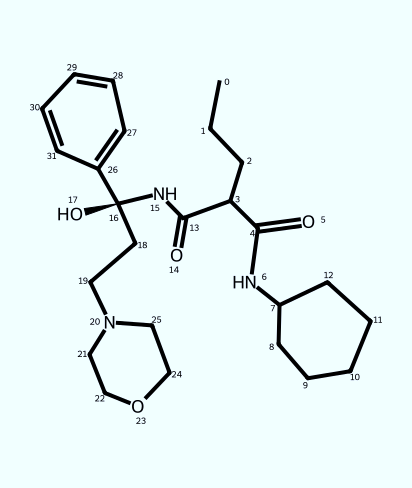 CCCC(C(=O)NC1CCCCC1)C(=O)N[C@](O)(CCN1CCOCC1)c1ccccc1